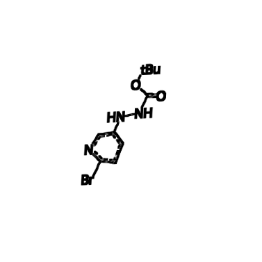 CC(C)(C)OC(=O)NNc1ccc(Br)nc1